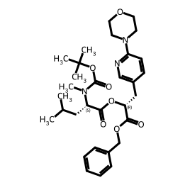 CC(C)C[C@@H](C(=O)O[C@H](Cc1ccc(N2CCOCC2)nc1)C(=O)OCc1ccccc1)N(C)C(=O)OC(C)(C)C